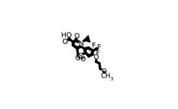 COCCCOc1cc2c(cc1C(F)(F)F)-c1c(cc(C(=O)O)c(=O)n1C1CC1)CS2(=O)=O